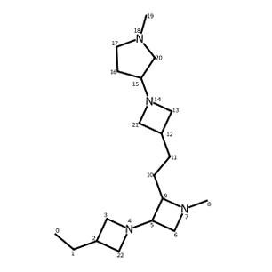 CCC1CN(C2CN(C)C2CCC2CN(C3CCN(C)C3)C2)C1